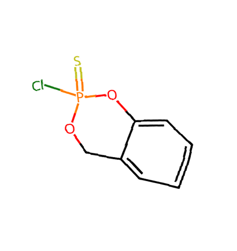 S=P1(Cl)OCc2ccccc2O1